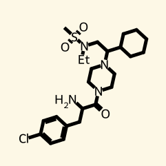 CCN(CC(C1CCCCC1)N1CCN(C(=O)C(N)Cc2ccc(Cl)cc2)CC1)S(C)(=O)=O